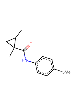 CSc1ccc(NC(=O)C2(C)CC2C)cc1